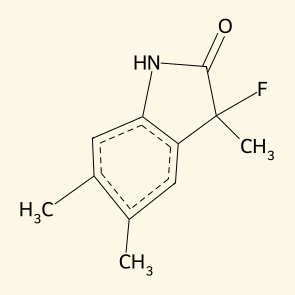 Cc1cc2c(cc1C)C(C)(F)C(=O)N2